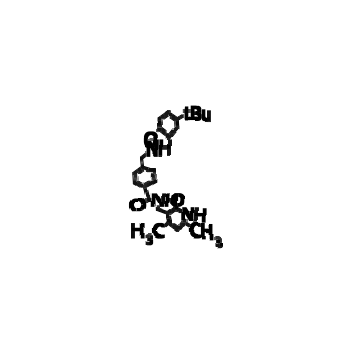 Cc1cc(C)c(CNC(=O)c2ccc(CNOc3ccc(C(C)(C)C)cc3)cc2)c(=O)[nH]1